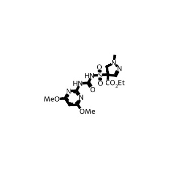 CCOC(=O)C1(S(=O)(=O)NC(=O)Nc2nc(OC)cc(OC)n2)C=NN(C)C1